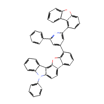 c1ccc(-c2cc(-c3cccc4c3oc3c4ccc4c3c3ccccc3n4-c3ccccc3)cc(-c3cccc4oc5ccccc5c34)n2)cc1